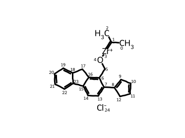 C[C](C)=[Zr+][O]Cc1c(C2=CC=CC2)ccc2c1Cc1ccccc1-2.[Cl-]